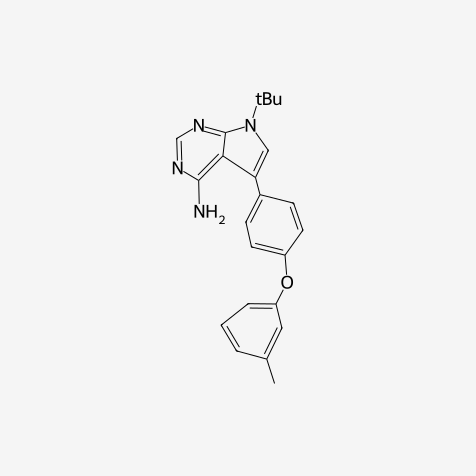 Cc1cccc(Oc2ccc(-c3cn(C(C)(C)C)c4ncnc(N)c34)cc2)c1